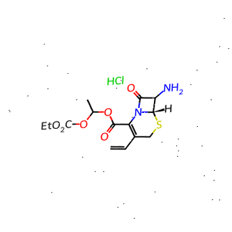 C=CC1=C(C(=O)OC(C)OC(=O)OCC)N2C(=O)C(N)[C@@H]2SC1.Cl